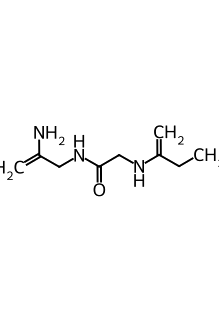 C=C(N)CNC(=O)CNC(=C)CC